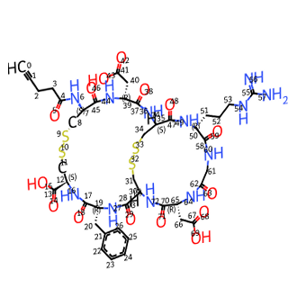 C#CCCC(=O)N[C@@H]1CSSC[C@H](C(=O)O)NC(=O)[C@@H](Cc2ccccc2)NC(=O)[C@H]2CSSC[C@@H](NC(=O)[C@@H](CC(=O)O)NC1=O)C(=O)N[C@H](CCCNC(=N)N)C(=O)NCC(=O)N[C@H](CC(=O)O)C(=O)N2